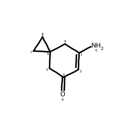 NC1=CC(=O)CC2(CC2)C1